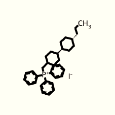 CCC[C@H]1CC[C@H](C2CCC(C[P+](c3ccccc3)(c3ccccc3)c3ccccc3)CC2)CC1.[I-]